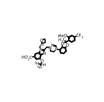 [2H]C([2H])([2H])Oc1cc(C(=O)O)cc2c1nc(CN1CCN(c3cccc4c3OC(C)(c3ccc(C(F)(F)F)cc3OC)O4)C=N1)n2C[C@@H]1CCO1